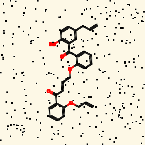 C=CCOc1ccccc1C(=O)C=CCOc1ccccc1C(=O)c1cc(CC=C)ccc1O